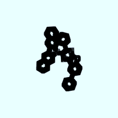 c1ccc(-c2ccc3oc4nc(-c5ccccc5)c(-n5c6cc7ccccc7cc6c6cc7ccccc7cc65)nc4c3c2)cc1